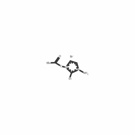 CCc1n(N)cc[n+]1CC(=O)C(C)(C)C.[Br-]